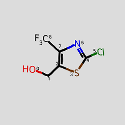 OCc1sc(Cl)nc1C(F)(F)F